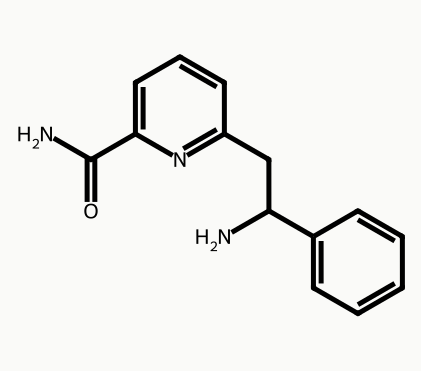 NC(=O)c1cccc(CC(N)c2ccccc2)n1